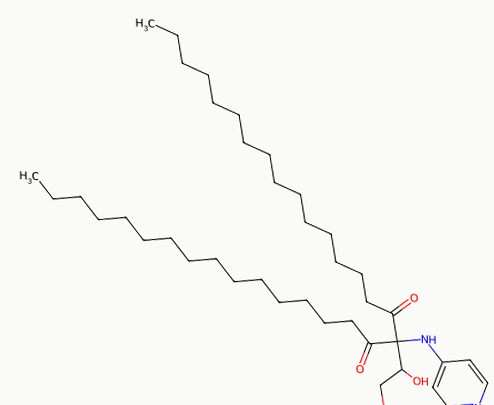 CCCCCCCCCCCCCCCC(=O)C(Nc1ccncc1)(C(=O)CCCCCCCCCCCCCCC)C(O)CO